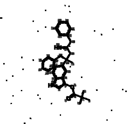 CC(C)(C)C(=O)Oc1c[nH]c2ccc(C(C)(CC(=N)Cc3ccccc3)Cc3ccccc3)cc12